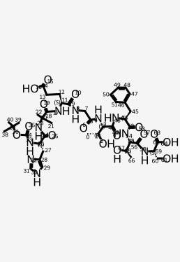 C[C@@H](O)[C@H](NC(=O)CNC(=O)[C@H](CCC(=O)O)NC(=O)C(C)(C)NC(=O)[C@H](Cc1c[nH]cn1)NC(=O)OC(C)(C)C)C(=O)N[C@@H](Cc1ccccc1)C(=O)N[C@H](C(=O)N[C@@H](CO)C(=O)O)[C@@H](C)O